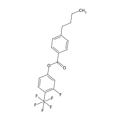 CCCCc1ccc(C(=O)Oc2ccc(S(F)(F)(F)(F)F)c(F)c2)cc1